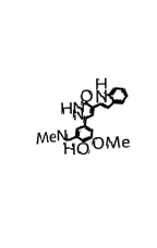 CNCc1cc(-c2cc(-c3cc4ccccc4[nH]3)c(=O)[nH]n2)cc(OC)c1O